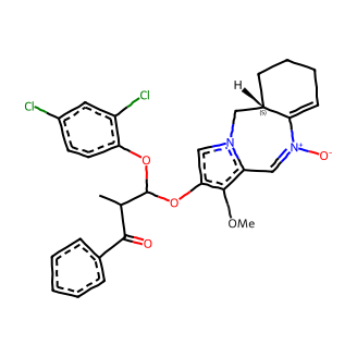 COc1c(OC(Oc2ccc(Cl)cc2Cl)C(C)C(=O)c2ccccc2)cn2c1C=[N+]([O-])C1=CCCC[C@H]1C2